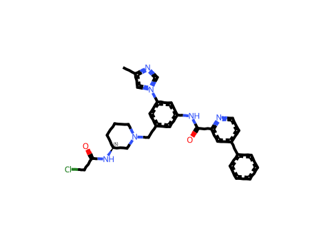 Cc1cn(-c2cc(CN3CCC[C@H](NC(=O)CCl)C3)cc(NC(=O)c3cc(-c4ccccc4)ccn3)c2)cn1